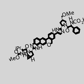 COC[C@H]1C[C@@H](c2ncc(-c3ccc4c(c3)COc3cc5c(ccc6nc([C@@H]7C[C@H]8C[C@H]8N7C(=O)C(NC(=O)OC)C(C)C)[nH]c65)cc3-4)[nH]2)N(C(=O)C(NC(=O)O)c2ccccc2)C1